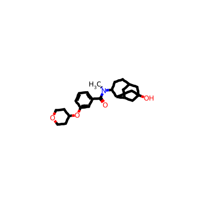 CN(C(=O)c1cccc(OC2CCOCC2)c1)C1CCC2CC3CC(O)(C2)CC31